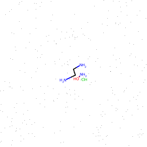 Cl.NCCN.NO